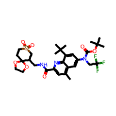 Cc1cc(C(=O)NCC2CS(=O)(=O)CCC23OCCO3)nc2c(C(C)(C)C)cc(N(CC(F)(F)F)C(=O)OC(C)(C)C)cc12